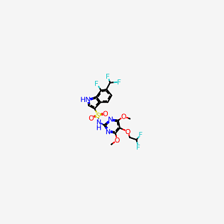 COc1nc(NS(=O)(=O)c2c[nH]c3c(F)c(C(F)F)ccc23)nc(OC)c1OCC(F)F